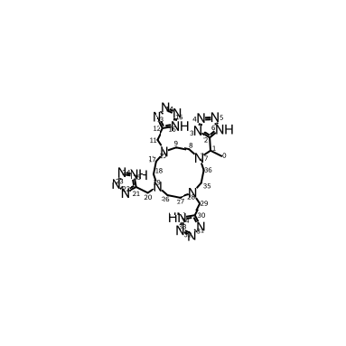 CC(c1nnn[nH]1)N1CCN(Cc2nnn[nH]2)CCN(Cc2nnn[nH]2)CCN(Cc2nnn[nH]2)CC1